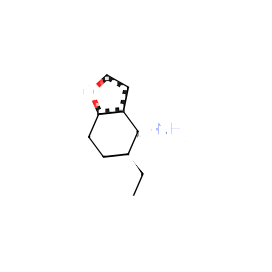 CC[C@H]1CCc2occc2[C@@H]1N